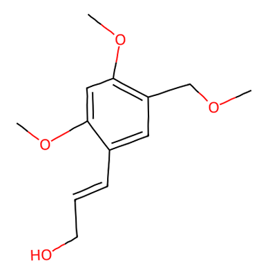 COCc1cc(/C=C/CO)c(OC)cc1OC